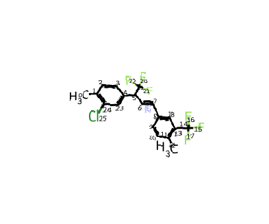 Cc1ccc(C(/C=C/c2ccc(C)c(C(F)(F)F)c2)C(F)(F)F)cc1Cl